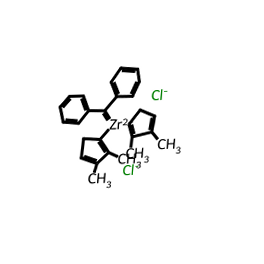 CC1=CC[C]([Zr+2]([C]2=C(C)C(C)=CC2)=[C](c2ccccc2)c2ccccc2)=C1C.[Cl-].[Cl-]